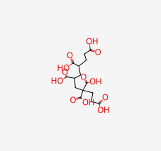 O=C(O)CCC(CC(CC(CCC(=O)O)(C(=O)O)C(=O)O)C(=O)O)C(=O)O